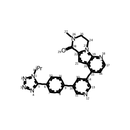 CC(C)n1nnnc1-c1ccc(-c2cncc(-c3ccnc4c3cc3n4CCN(C)C3=O)c2)cc1